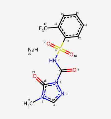 Cn1cnn(C(=O)NS(=O)(=O)c2ccccc2C(F)(F)F)c1=O.[NaH]